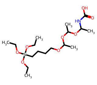 CCO[Si](CCCCOC(C)OC(C)OC(C)NC(=O)O)(OCC)OCC